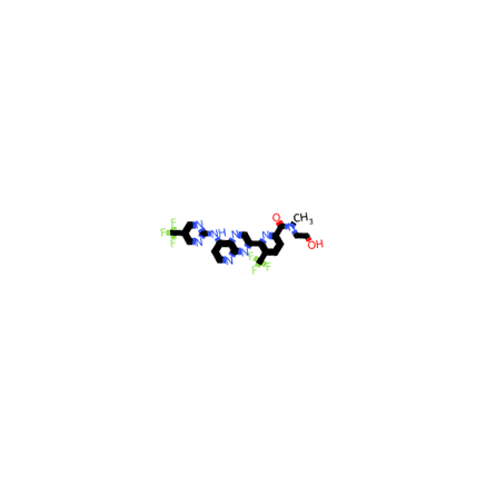 CN(CCO)C(=O)c1ccc(C(F)(F)F)c(-c2cnc3c(Nc4ncc(C(F)(F)F)cn4)ccnc3n2)n1